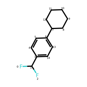 FC(F)c1ccc(C2CCCCC2)cc1